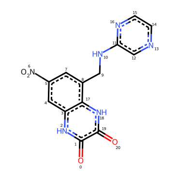 O=c1[nH]c2cc([N+](=O)[O-])cc(CNc3cnccn3)c2[nH]c1=O